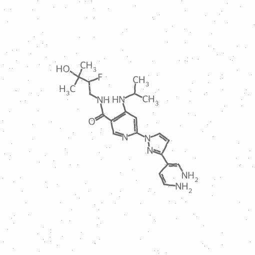 CC(C)Nc1cc(-n2ccc(C(/C=C\N)=C/N)n2)ncc1C(=O)NCC(F)C(C)(C)O